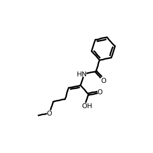 COCC/C=C(/NC(=O)c1ccccc1)C(=O)O